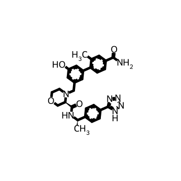 Cc1cc(C(N)=O)ccc1-c1cc(O)cc(CN2CCOC[C@@H]2C(=O)N[C@@H](C)c2ccc(-c3nnn[nH]3)cc2)c1